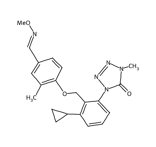 CO/N=C/c1ccc(OCc2c(C3CC3)cccc2-n2nnn(C)c2=O)c(C)c1